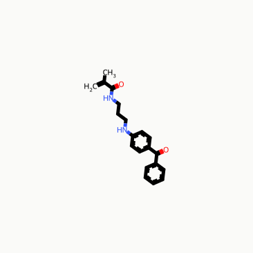 C=C(C)C(=O)NCCCNc1ccc(C(=O)c2ccccc2)cc1